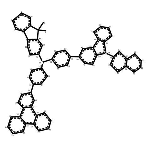 CC1(C)c2ccccc2-c2ccc(N(c3ccc(-c4ccc5c6ccccc6c6ccccc6c5c4)cc3)c3ccc(-c4ccc5c(c4)c4ccccc4n5-c4ccc5ccccc5c4)cc3)cc21